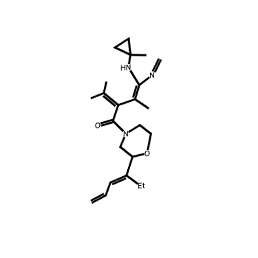 C=C/C=C(\CC)C1CN(C(=O)C(=C(C)C)/C(C)=C(/N=C)NC2(C)CC2)CCO1